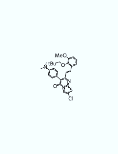 COc1cccc(C=Cc2nc3sc(Cl)cn3c(=O)c2-c2ccc(N(C)C)cc2)c1OCC(C)(C)C